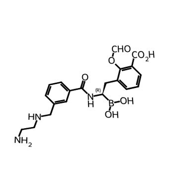 NCCNCc1cccc(C(=O)N[C@@H](Cc2cccc(C(=O)O)c2OC=O)B(O)O)c1